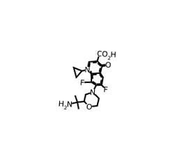 CC(C)(N)C1CN(c2c(F)cc3c(=O)c(C(=O)O)cn(C4CC4)c3c2F)CCO1